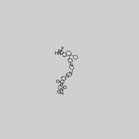 O=C1CC[C@H](N2Cc3cc(N4CCN(CC5CCN(c6ccc(C7=C(C8CCCCC8)CCCc8c7ccc7[nH]nc(F)c87)cc6)CC5)CC4)ccc3C2=O)C(=O)N1